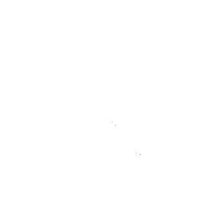 O=C(NC1CCCN1)c1ccccc1